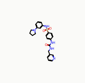 O=C(NCc1cccnc1)Nc1ccc(S(=O)(=O)Nc2cccc(N3CCCC3)c2)cc1